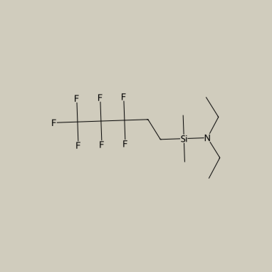 CCN(CC)[Si](C)(C)CCC(F)(F)C(F)(F)C(F)(F)F